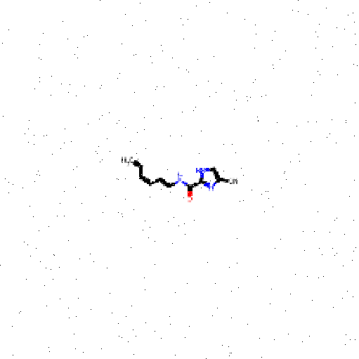 C=C/C=C\C=C\NC(=O)c1nc(C#N)c[nH]1